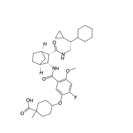 COc1cc(F)c(OC2CCC(C)(C(=O)O)CC2)cc1C(=O)N[C@@H]1[C@H]2CC[C@H](C2)[C@@H]1C(=O)NC[C@@H](C1CCCCC1)C1CC1